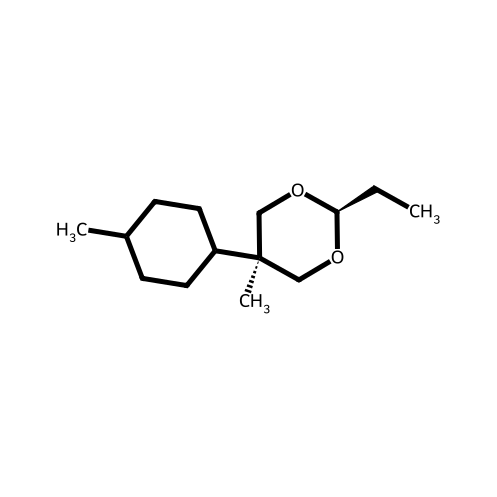 CC[C@H]1OC[C@@](C)(C2CCC(C)CC2)CO1